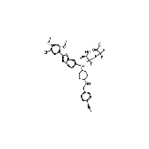 COc1cc(OC)c(-c2cn3ccc(N[C@H]4CC[C@@H](NCc5ccc(C#N)cc5)CC4)cc3n2)cc1Cl.O=C(O)C(F)(F)F.O=C(O)C(F)(F)F